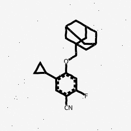 N#Cc1cc(C2CC2)c(OCC23CC4CC(CC(C4)C2)C3)cc1F